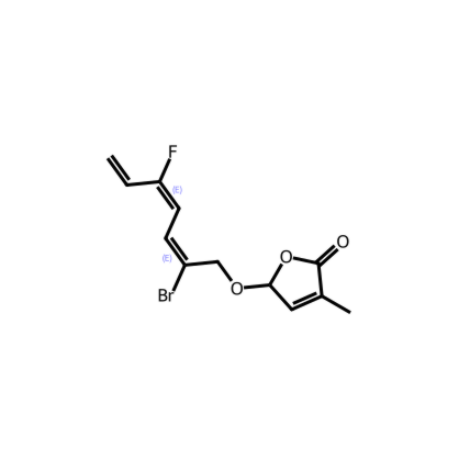 C=C/C(F)=C\C=C(\Br)COC1C=C(C)C(=O)O1